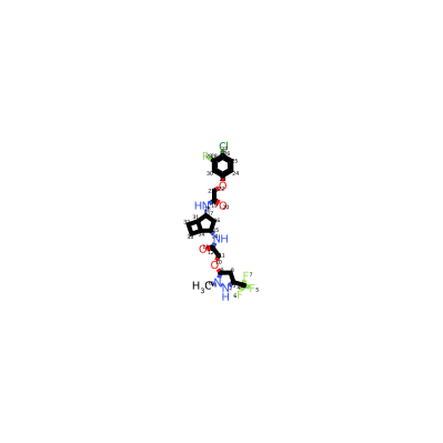 CN1NC(C(F)(F)F)CC1OCC(=O)NC1C[C@H](NC(=O)COc2ccc(Cl)c(F)c2)C2CCC12